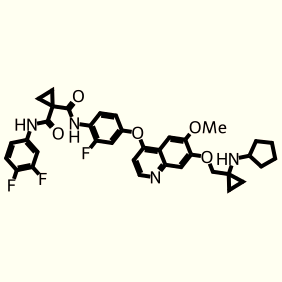 COc1cc2c(Oc3ccc(NC(=O)C4(C(=O)Nc5ccc(F)c(F)c5)CC4)c(F)c3)ccnc2cc1OCC1(NC2CCCC2)CC1